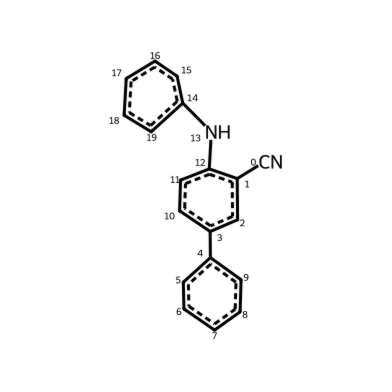 N#Cc1cc(-c2ccccc2)ccc1Nc1ccccc1